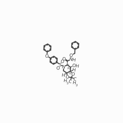 CC1(C)O[C@H]2[C@H](O)[C@H](C(=O)NOCc3ccccc3)N(S(=O)(=O)c3ccc(Oc4ccccc4)cc3)C[C@@H]2O1